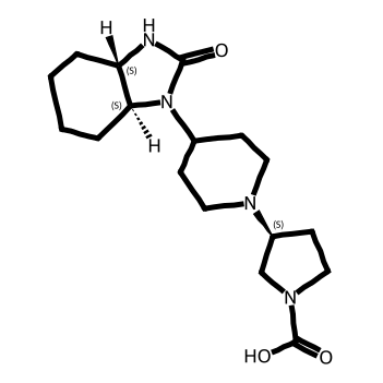 O=C(O)N1CC[C@H](N2CCC(N3C(=O)N[C@H]4CCCC[C@@H]43)CC2)C1